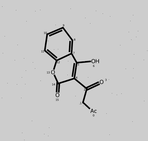 CC(=O)CC(=O)c1c(O)c2ccccc2oc1=O